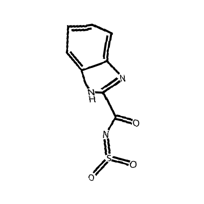 O=C(N=S(=O)=O)c1nc2ccccc2[nH]1